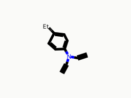 C#CN(C#C)c1ccc(CC)cc1